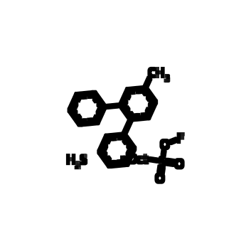 CCCCCCCCS(=O)(=O)OF.Cc1ccc(-c2ccccc2)c(-c2ccccc2)c1.S